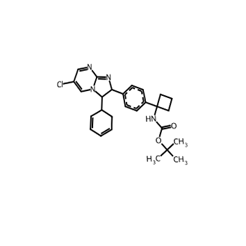 CC(C)(C)OC(=O)NC1(c2ccc(C3N=C4N=CC(Cl)=CN4C3C3C=CC=CC3)cc2)CCC1